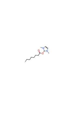 CCCCCCCC(=O)OC1N(C)C=CN1C